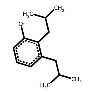 CC(C)Cc1cccc([O])c1CC(C)C